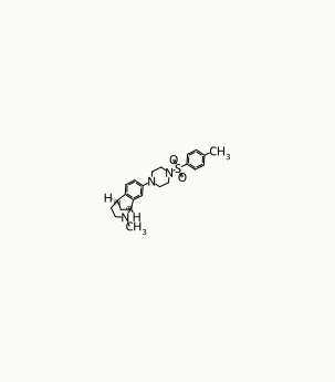 Cc1ccc(S(=O)(=O)N2CCN(c3ccc4c(c3)[C@H]3C[C@H]4CCN3C)CC2)cc1